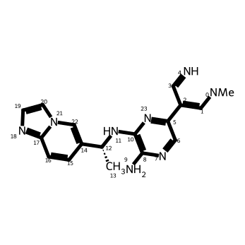 CN/C=C(\C=N)c1cnc(N)c(N[C@H](C)c2ccc3nccn3c2)n1